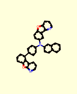 c1ccc2cc(N(c3ccc(-c4cccc5oc6ncccc6c45)cc3)c3ccc4oc5cccnc5c4c3)ccc2c1